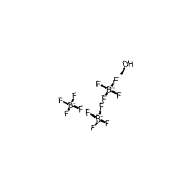 CO.F[B-](F)(F)F.F[B-](F)(F)F.F[B-](F)(F)F